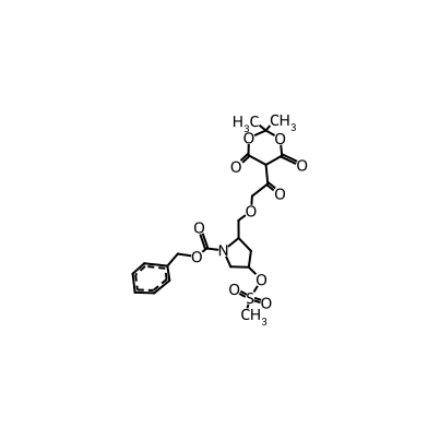 CC1(C)OC(=O)C(C(=O)COCC2CC(OS(C)(=O)=O)CN2C(=O)OCc2ccccc2)C(=O)O1